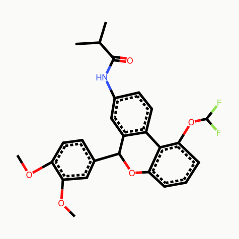 COc1ccc(C2Oc3cccc(OC(F)F)c3-c3ccc(NC(=O)C(C)C)cc32)cc1OC